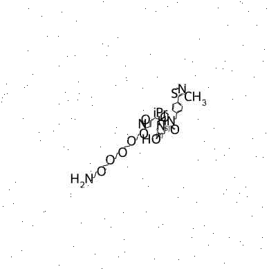 Cc1ncsc1-c1ccc(CNC(=O)[C@@H]2C[C@@H](O)CN2C(=O)C(c2cc(OCCOCCOCCOCCOCCN)no2)C(C)C)cc1